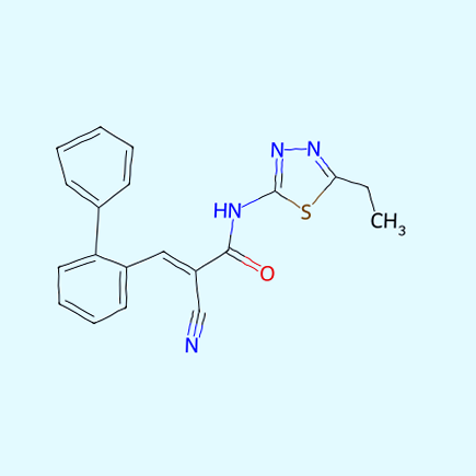 CCc1nnc(NC(=O)/C(C#N)=C/c2ccccc2-c2ccccc2)s1